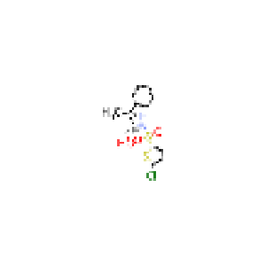 C[C@@H](c1ccccc1)[C@@H](CO)NS(=O)(=O)c1ccc(Cl)s1